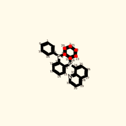 c1ccc(P(c2ccccc2)c2ccccc2P(c2ccccc2)c2cccc3cccnc23)cc1